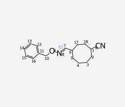 N#CC1CCCCC(/C=N/OCc2ccccc2)CC1